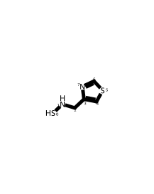 SNCc1cscn1